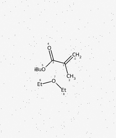 C=C(C)C(=O)OCC(C)C.CCOCC